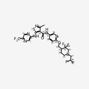 Cc1nsc(Nc2cnc(C(F)(F)F)cn2)c1C(=O)Nc1ccc(OCC2CCN(CC(F)F)CC2(F)F)nc1